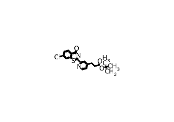 CC(C)(C)OC(=O)CCc1ccnc(-c2nc(=O)c3ccc(Cl)cc3s2)c1